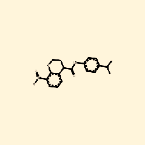 CC(C)c1ccc(NC(=O)C2CCOc3c2cccc3[N+](=O)[O-])cc1